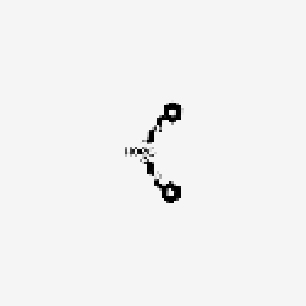 O=P(O)(OCCOCc1ccccc1)OCCOCc1ccccc1